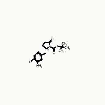 CC(C)(C)OC(=O)N1C(=O)CC[C@H]1Cc1ccc(F)c(N)c1